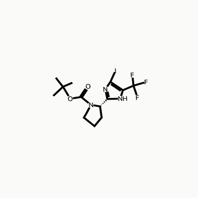 CC(C)(C)OC(=O)N1CCC[C@H]1c1nc(I)c(C(F)(F)F)[nH]1